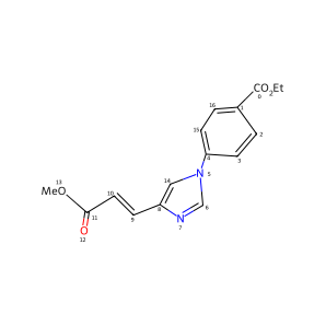 CCOC(=O)c1ccc(-n2cnc(C=CC(=O)OC)c2)cc1